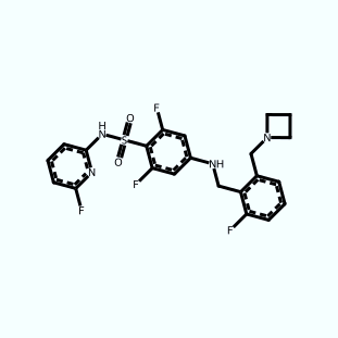 O=S(=O)(Nc1cccc(F)n1)c1c(F)cc(NCc2c(F)cccc2CN2CCC2)cc1F